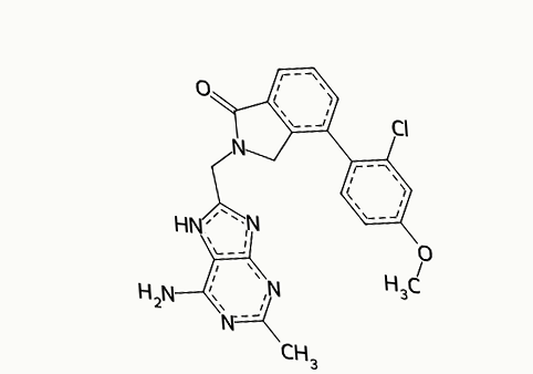 COc1ccc(-c2cccc3c2CN(Cc2nc4nc(C)nc(N)c4[nH]2)C3=O)c(Cl)c1